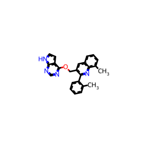 Cc1ccccc1-c1nc2c(C)cccc2cc1COc1ncnc2[nH]ccc12